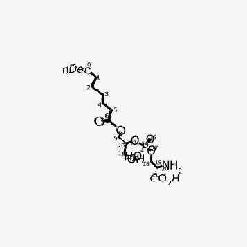 CCCCCCCCCCCCCCCC(=O)OC[C@H](CO)OP(=O)(O)OC[C@H](N)C(=O)O